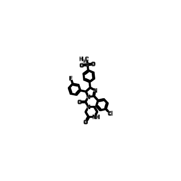 CS(=O)(=O)c1ccc(C2N=C(c3ccc(Cl)cc3)N(C(=O)N3CCNC(=O)C3)C2c2cccc(F)c2)cc1